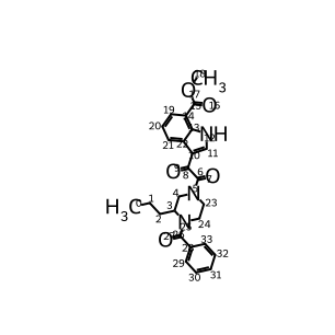 CCCC1CN(C(=O)C(=O)c2c[nH]c3c(C(=O)OC)cccc23)CCN1C(=O)c1ccccc1